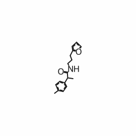 Cc1ccc(C(C)C(=O)NCCCc2ccco2)cc1